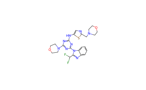 FC(F)c1nc2ccccc2n1-c1nc(Nc2cnc(CN3CCOCC3)s2)nc(N2CCOCC2)n1